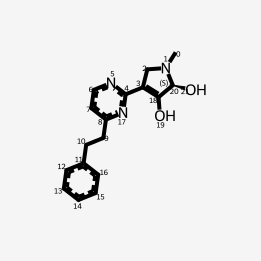 CN1CC(c2nccc(CCc3ccccc3)n2)=C(O)[C@@H]1O